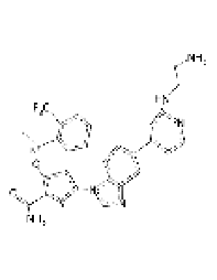 C[C@@H](Oc1cc(-n2cnc3cc(-c4ccnc(NCCN)c4)ccc32)sc1C(N)=O)c1ccccc1C(F)(F)F